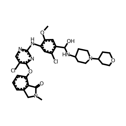 COc1cc(C(O)NC2CCN(C3CCOCC3)CC2)c(Cl)cc1Nc1ncc(Cl)c(Oc2cccc3c2C(=O)N(C)C3)n1